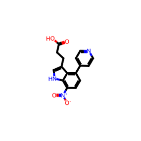 O=C(O)CCc1c[nH]c2c([N+](=O)[O-])ccc(-c3ccncc3)c12